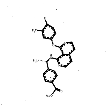 COC(=O)c1ccc([C@H](C)Nc2nccc3ccnc(Oc4ccc(F)c(C(F)(F)F)c4)c23)cc1